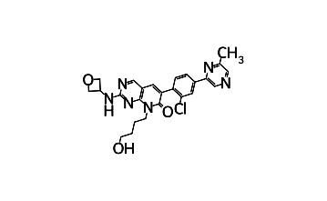 Cc1cncc(-c2ccc(-c3cc4cnc(NC5COC5)nc4n(CCCCO)c3=O)c(Cl)c2)n1